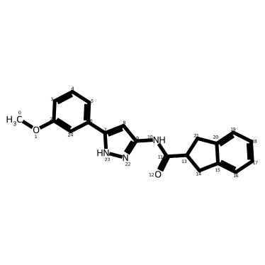 COc1cccc(-c2cc(NC(=O)C3Cc4ccccc4C3)n[nH]2)c1